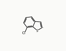 Clc1cccc2c[c]sc12